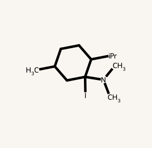 CC1CCC(C(C)C)C(I)(N(C)C)C1